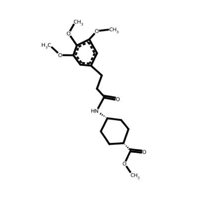 COc1cc(CCC(=O)N[C@H]2CC[C@@H](C(=O)OC)CC2)cc(OC)c1OC